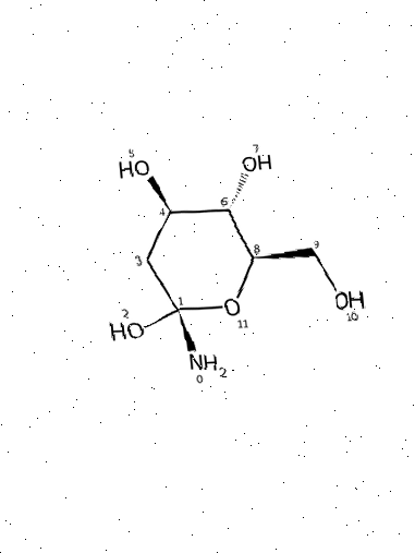 N[C@@]1(O)C[C@@H](O)[C@H](O)[C@@H](CO)O1